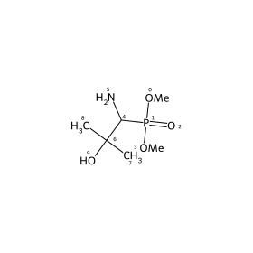 COP(=O)(OC)C(N)C(C)(C)O